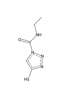 CCNC(=O)n1cc(S)nn1